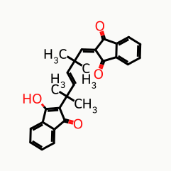 CC(C)(C=CC(C)(C)C1=C(O)c2ccccc2C1=O)C=C1C(=O)c2ccccc2C1=O